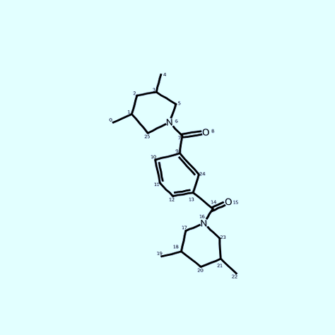 CC1CC(C)CN(C(=O)c2cccc(C(=O)N3CC(C)CC(C)C3)c2)C1